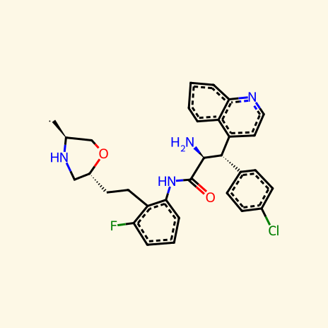 [CH2][C@H]1CO[C@H](CCc2c(F)cccc2NC(=O)[C@@H](N)[C@@H](c2ccc(Cl)cc2)c2ccnc3ccccc23)CN1